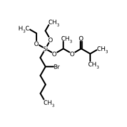 CCCCC(Br)C[Si](OCC)(OCC)OC(C)OC(=O)C(C)C